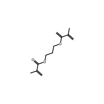 C=C(C)C(=C)OCCCOC(=O)C(=C)C